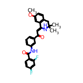 COc1ccc2c(c1)C(=CC(=O)c1cccc(NC(=O)c3ccc(F)cc3F)c1)NC(C)(C)C2